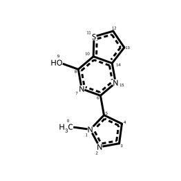 Cn1nccc1-c1nc(O)c2sccc2n1